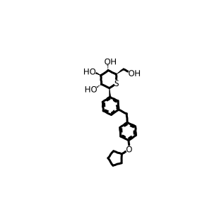 OC[C@H]1S[C@@H](c2cccc(Cc3ccc(OC4CCCC4)cc3)c2)[C@H](O)[C@@H](O)[C@@H]1O